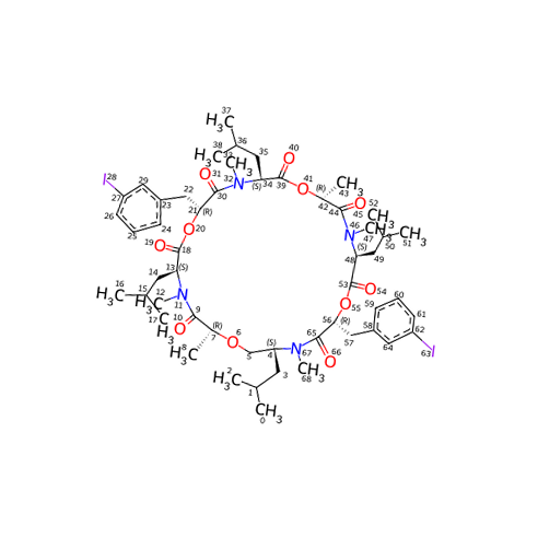 CC(C)C[C@H]1CO[C@H](C)C(=O)N(C)[C@@H](CC(C)C)C(=O)O[C@H](Cc2cccc(I)c2)C(=O)N(C)[C@@H](CC(C)C)C(=O)O[C@H](C)C(=O)N(C)[C@@H](CC(C)C)C(=O)O[C@H](Cc2cccc(I)c2)C(=O)N1C